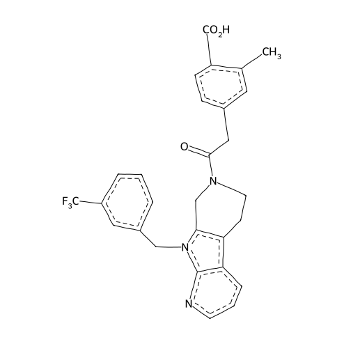 Cc1cc(CC(=O)N2CCc3c(n(Cc4cccc(C(F)(F)F)c4)c4ncccc34)C2)ccc1C(=O)O